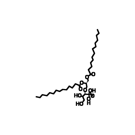 CCCCCCCCCCCCCC(=O)OC[C@H](CO[C@@H](C(O)CO)P(=O)(O)O)OC(=O)CCCCCCCCCCCCC